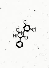 O=C1NC(c2ccccc2)C(=O)N1c1cc(Cl)cc(Cl)c1